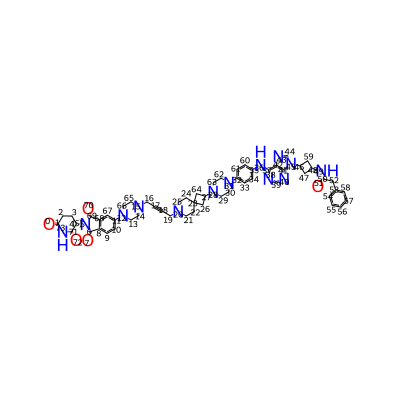 O=C1CC[C@H](N2C(=O)c3ccc(N4CCN(CC#CCN5CCC6(CC5)CC(N5CCN(c7ccc(Nc8ncnc9c8ncn9C8CC(NC(=O)Cc9ccccc9)C8)cc7)CC5)C6)CC4)cc3C2=O)C(=O)N1